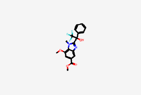 COC(=O)c1cc(OC)c2c(c1)nc(C(O)(c1ccccc1)C(F)(F)F)n2C